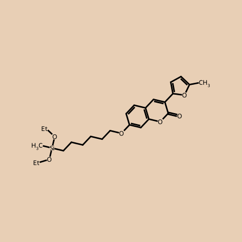 CCO[Si](C)(CCCCCCOc1ccc2cc(-c3ccc(C)o3)c(=O)oc2c1)OCC